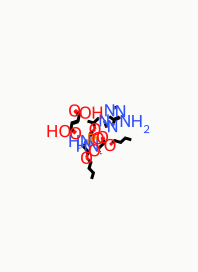 CCCCOC(=O)[C@H](C)NP(=O)(COC(C)Cn1cnc2c(N)ncnc21)N[C@@H](C)C(=O)OCCCC.O=C(O)/C=C/C(=O)O